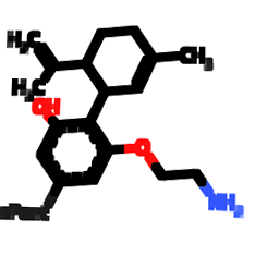 C=C(C)C1CCC(C)=CC1c1c(O)cc(CCCCC)cc1OCCN